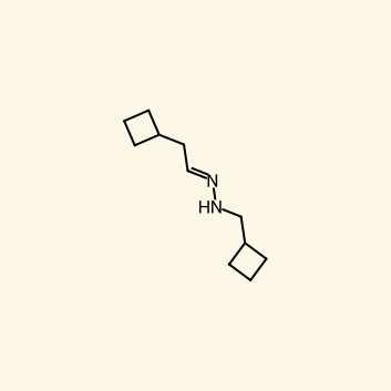 C(/CC1CCC1)=N\NCC1CCC1